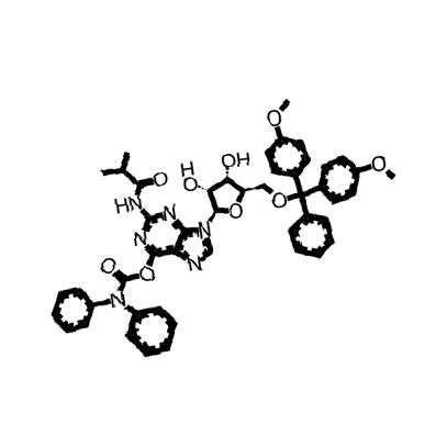 COc1ccc(C(OC[C@H]2O[C@@H](n3cnc4c(OC(=O)N(c5ccccc5)c5ccccc5)nc(NC(=O)C(C)C)nc43)[C@H](O)[C@@H]2O)(c2ccccc2)c2ccc(OC)cc2)cc1